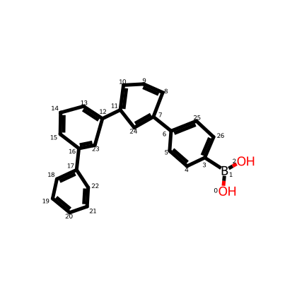 OB(O)c1ccc(-c2cccc(-c3cccc(-c4ccccc4)c3)c2)cc1